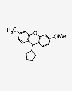 COc1ccc2c(c1)Oc1cc(C)ccc1C2C1CCCC1